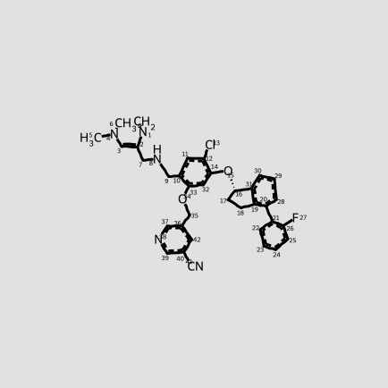 C=N/C(=C\N(C)C)CNCc1cc(Cl)c(O[C@H]2CCc3c(-c4ccccc4F)cccc32)cc1OCc1cncc(C#N)c1